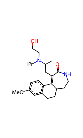 COc1ccc2c(c1)CCC1CCNC(=O)C(CC(C)N(CCO)C(C)C)=C21